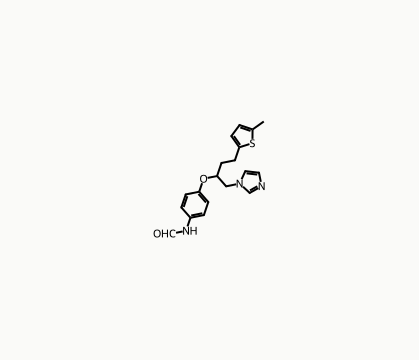 Cc1ccc(CCC(Cn2ccnc2)Oc2ccc(NC=O)cc2)s1